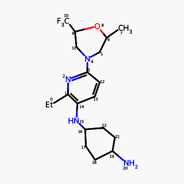 CCc1nc(N2CC(C)OC(C(F)(F)F)C2)ccc1NC1CCC(N)CC1